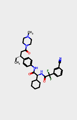 CC[C@H](CC(=O)N1CCN(C)CC1)c1ccc(NC(=O)[C@@H](NC(=O)C(F)(F)c2cccc(C#N)c2)C2CCCCC2)cc1